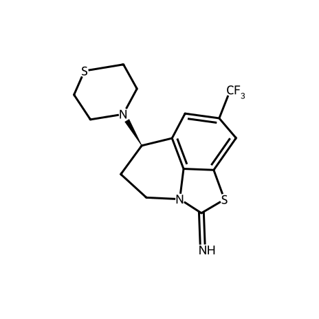 N=c1sc2cc(C(F)(F)F)cc3c2n1CC[C@H]3N1CCSCC1